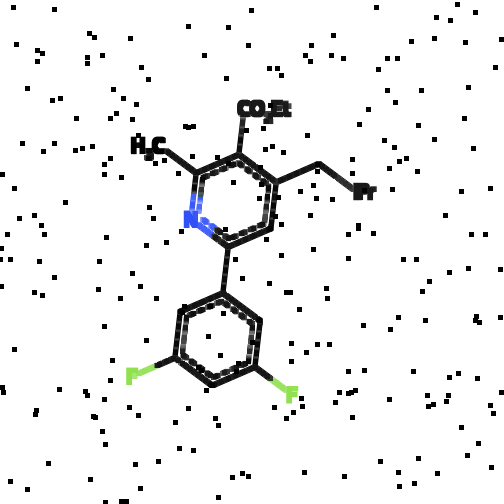 CCOC(=O)c1c(CC(C)C)cc(-c2cc(F)cc(F)c2)nc1C